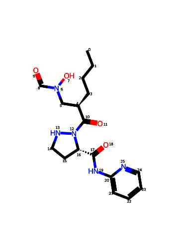 CCCC[C@H](CN(O)C=O)C(=O)N1NCC[C@H]1C(=O)Nc1ccccn1